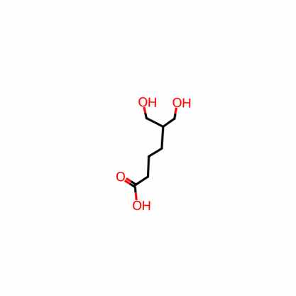 O=C(O)CCCC(CO)CO